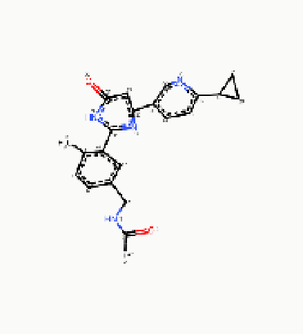 CC(C)C(=O)NCc1ccc(C(F)(F)F)c(-c2nc(-c3ccc(C4CC4)nc3)cc(=O)[nH]2)c1